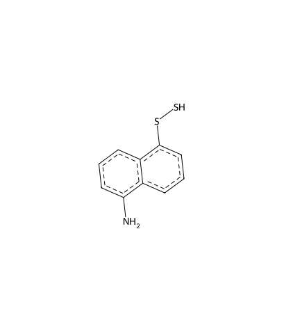 Nc1cccc2c(SS)cccc12